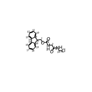 O=C(CNC(=O)OCC1c2ccccc2-c2ccccc21)NCCl